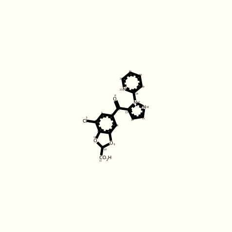 O=C(c1cc(Cl)c2c(c1)OC(C(=O)O)O2)c1ccnn1-c1ccccn1